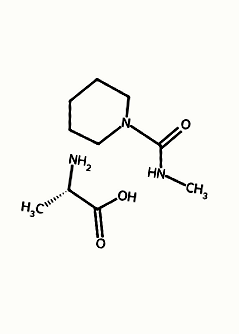 CNC(=O)N1CCCCC1.C[C@H](N)C(=O)O